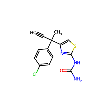 C#CC(C)(c1ccc(Cl)cc1)c1csc(NC(N)=O)n1